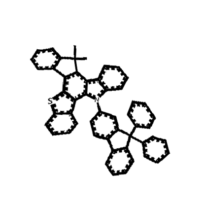 CC1(C)c2ccccc2-c2c1c1c3ccccc3n(-c3ccc4c(c3)C(c3ccccc3)(c3ccccc3)c3ccccc3-4)c1c1c2sc2ccccc21